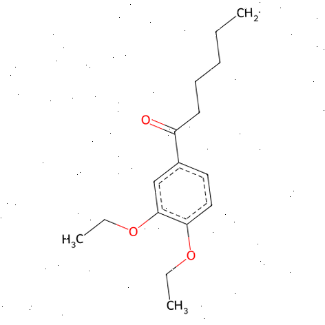 [CH2]CCCCC(=O)c1ccc(OCC)c(OCC)c1